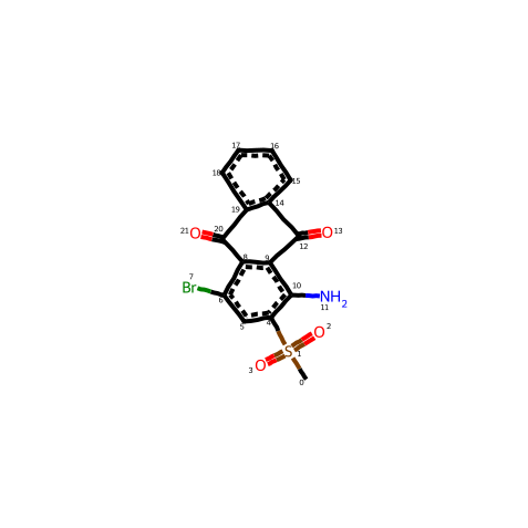 CS(=O)(=O)c1cc(Br)c2c(c1N)C(=O)c1ccccc1C2=O